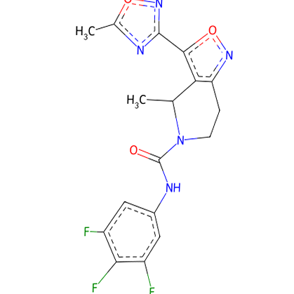 Cc1nc(-c2onc3c2C(C)N(C(=O)Nc2cc(F)c(F)c(F)c2)CC3)no1